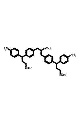 CCCCCCCCCCCCC(c1ccc(N)cc1)c1ccc(CC(CCCCCCCC)Cc2ccc(C(CCCCCCCCCCCC)c3ccc(N)cc3)cc2)cc1